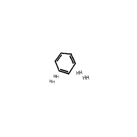 [HH].[HH].[HH].[HH].c1ccccc1